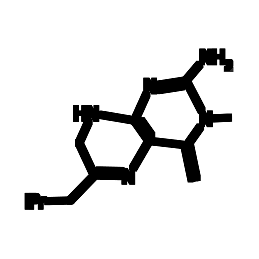 C=C1C2=C(N=C(N)N1C)NCC(CC(C)C)=N2